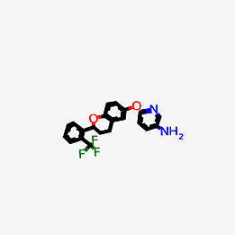 Nc1ccc(Oc2ccc3c(c2)CCC(c2ccccc2C(F)(F)F)O3)nc1